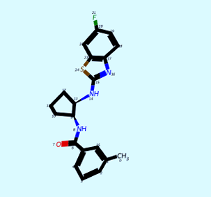 Cc1cccc(C(=O)N[C@H]2CCC[C@H]2Nc2nc3ccc(F)cc3s2)c1